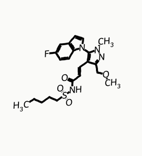 CCCCCS(=O)(=O)NC(=O)/C=C/c1c(COC)nn(C)c1-n1ccc2cc(F)ccc21